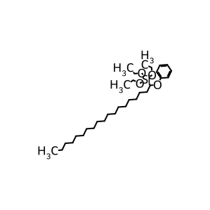 CCCCCCCCCCCCCCCCCCC(Oc1ccccc1)[Si](OCC)(OCC)OCC